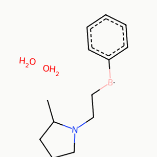 CC1CCCN1CC[B]c1ccccc1.O.O